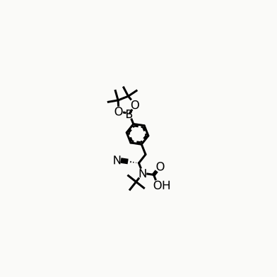 CC(C)(C)N(C(=O)O)[C@H](C#N)Cc1ccc(B2OC(C)(C)C(C)(C)O2)cc1